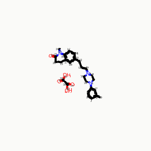 Cc1cccc(N2CCN(C=CCc3ccc4c(c3)CCC(=O)N4C)CC2)c1.O=C(O)C(=O)O